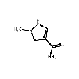 CN1CC(C(N)=O)=CN1